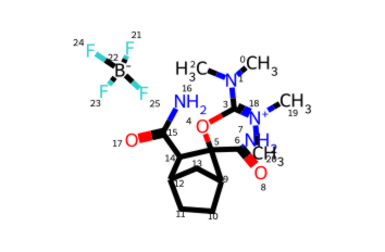 CN(C)C(OC1(C(N)=O)C2CCC(C2)C1C(N)=O)=[N+](C)C.F[B-](F)(F)F